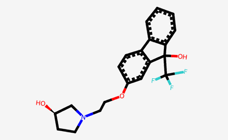 O[C@@H]1CCN(CCOc2ccc3c(c2)C(O)(C(F)(F)F)c2ccccc2-3)C1